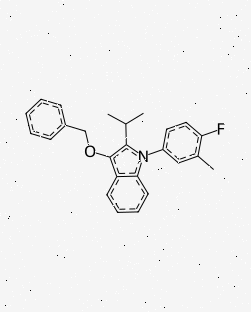 Cc1cc(-n2c(C(C)C)c(OCc3ccccc3)c3ccccc32)ccc1F